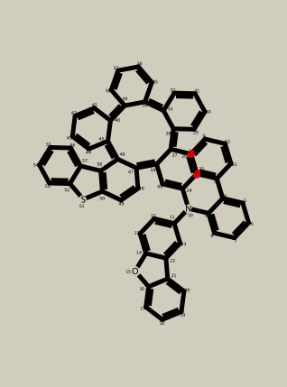 c1ccc(-c2ccccc2N(c2ccc3oc4ccccc4c3c2)c2ccc3c4ccccc4c4ccccc4c4ccccc4c4c(ccc5sc6ccccc6c54)c3c2)cc1